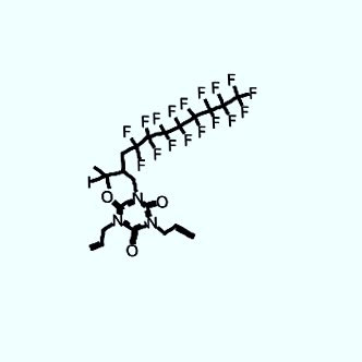 C=CCn1c(=O)n(CC=C)c(=O)n(CC(CC(F)(F)C(F)(F)C(F)(F)C(F)(F)C(F)(F)C(F)(F)C(F)(F)C(F)(F)F)C(C)(C)I)c1=O